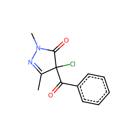 CC1=NN(C)C(=O)C1(Cl)C(=O)c1ccccc1